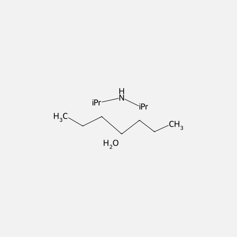 CC(C)NC(C)C.CCCCCCC.O